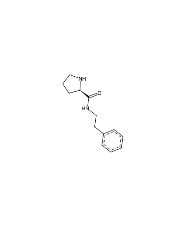 O=C(NCCc1ccccc1)[C@H]1CCCN1